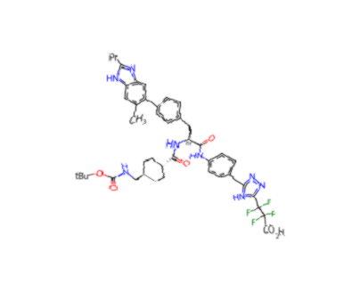 Cc1cc2[nH]c(C(C)C)nc2cc1-c1ccc(C[C@H](NC(=O)[C@H]2CC[C@H](CNC(=O)OC(C)(C)C)CC2)C(=O)Nc2ccc(-c3nnc(C(F)(F)C(F)(F)C(=O)O)[nH]3)cc2)cc1